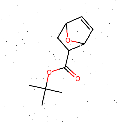 CC(C)(C)OC(=O)C1CC2C=CC1O2